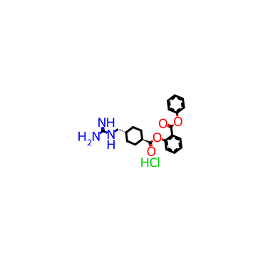 Cl.N=C(N)NC[C@H]1CC[C@H](C(=O)Oc2ccccc2C(=O)Oc2ccccc2)CC1